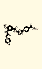 COC(=O)C1CCN(c2nnc(NC(=O)c3ccc(OC(F)(F)F)c(NC(=O)CN4CCN(C)CC4)c3)s2)CC1